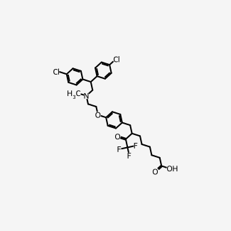 CN(CCOc1ccc(CC(CCCCCC(=O)O)C(=O)C(F)(F)F)cc1)CC(c1ccc(Cl)cc1)c1ccc(Cl)cc1